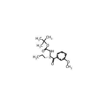 CCC[C@H](NC(=O)OC(C)(C)C)C(=O)c1cccc(OC)c1